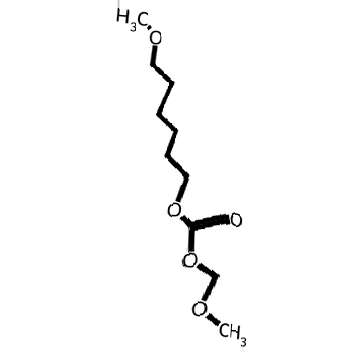 COCCCCCCOC(=O)OCOC